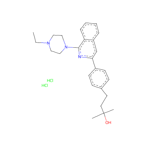 CCN1CCN(c2nc(-c3ccc(CCC(C)(C)O)cc3)cc3ccccc23)CC1.Cl.Cl